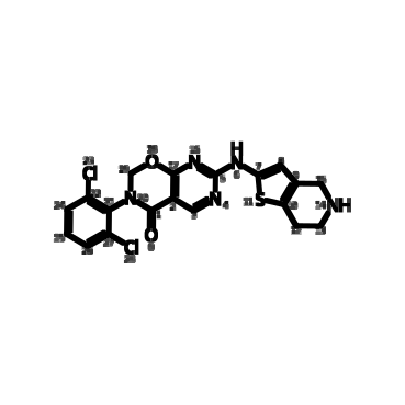 O=C1c2cnc(Nc3cc4c(s3)CCNC4)nc2OCN1c1c(Cl)cccc1Cl